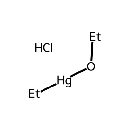 CC[O][Hg][CH2]C.Cl